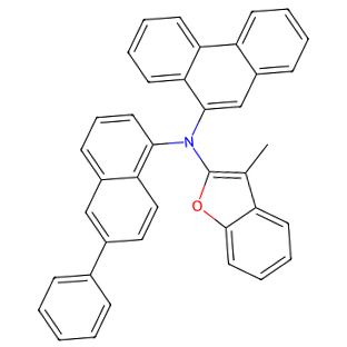 Cc1c(N(c2cccc3cc(-c4ccccc4)ccc23)c2cc3ccccc3c3ccccc23)oc2ccccc12